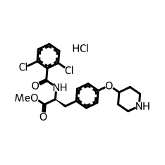 COC(=O)[C@H](Cc1ccc(OC2CCNCC2)cc1)NC(=O)c1c(Cl)cccc1Cl.Cl